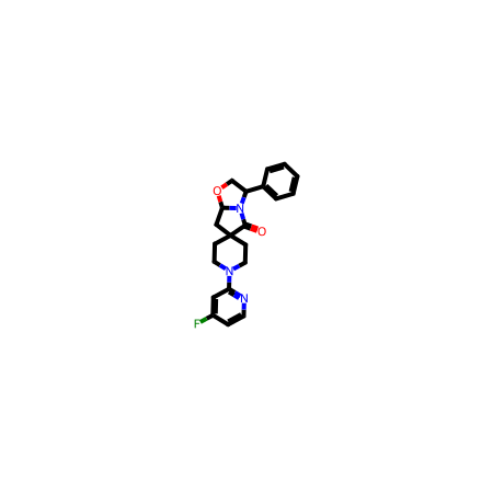 O=C1N2C(CC13CCN(c1cc(F)ccn1)CC3)OCC2c1ccccc1